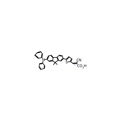 CC1(C)c2cc(-c3ccc(/C=C(\C#N)C(=O)O)s3)ccc2-c2ccc(N(c3ccccc3)c3ccccc3)cc21